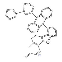 C=C/C=C\C1=C(C)CCc2c1oc1cccc(-c3c4ccccc4c(-c4cccc(-c5ccccc5)c4)c4ccccc34)c21